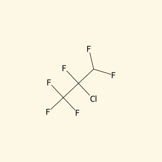 FC(F)C(F)(Cl)C(F)(F)F